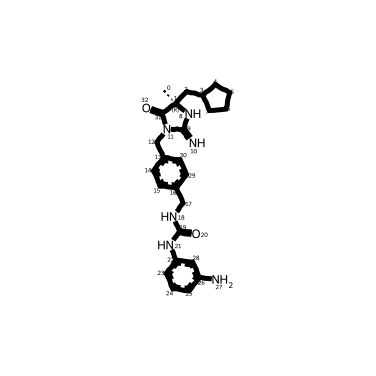 C[C@]1(CC2CCCC2)NC(=N)N(Cc2ccc(CNC(=O)Nc3cccc(N)c3)cc2)C1=O